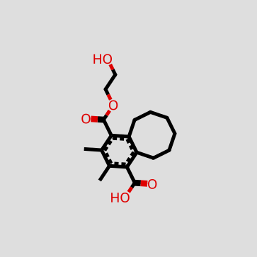 Cc1c(C)c(C(=O)OCCO)c2c(c1C(=O)O)CCCCCC2